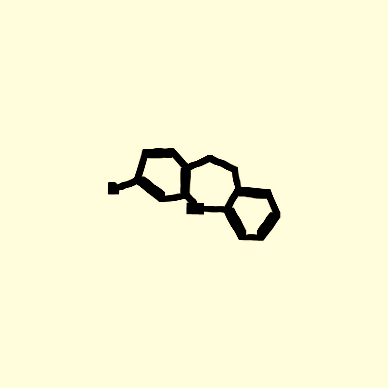 Brc1ccc2c(c1)Nc1ccccc1CC2